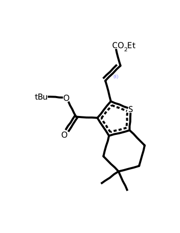 CCOC(=O)/C=C/c1sc2c(c1C(=O)OC(C)(C)C)CC(C)(C)CC2